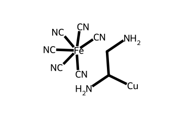 N#[C][Fe]([C]#N)([C]#N)([C]#N)([C]#N)[C]#N.NC[CH](N)[Cu]